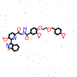 COc1ccc(COCCOc2ccc(C(=O)NCC(=O)c3ccc(OC)c(-c4nsc5ccccc45)n3)cc2OC)cc1